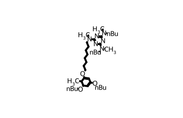 CCCCOC1=CC(OCCCC)C(C)C(OCCCCCCCCN(C)c2nc(N(C)CCCC)nc(N(C)CCCC)n2)=C1